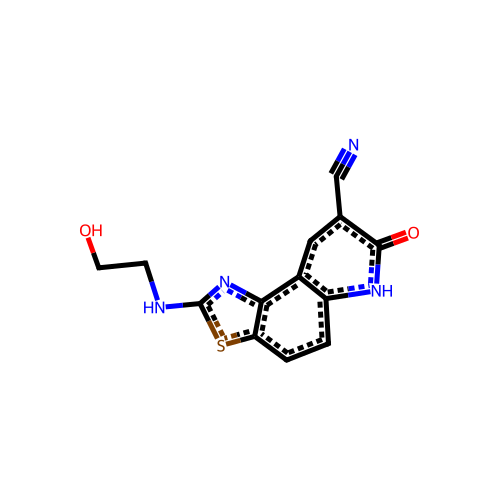 N#Cc1cc2c(ccc3sc(NCCO)nc32)[nH]c1=O